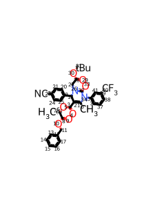 CC1=C(C(=O)O[C@@H](C)C(=O)OCc2ccccc2)C(c2ccc(C#N)cc2)N(CC(=O)OC(C)(C)C)C(=O)N1c1cccc(C(F)(F)F)c1